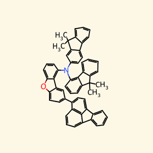 CC1(C)c2ccccc2-c2ccc(N(c3cccc4c3-c3ccccc3C4(C)C)c3cccc4oc5ccc(-c6ccc7c8c(cccc68)-c6ccccc6-7)cc5c34)cc21